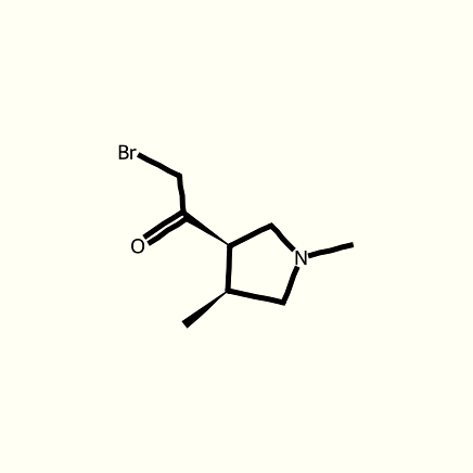 C[C@@H]1CN(C)C[C@@H]1C(=O)CBr